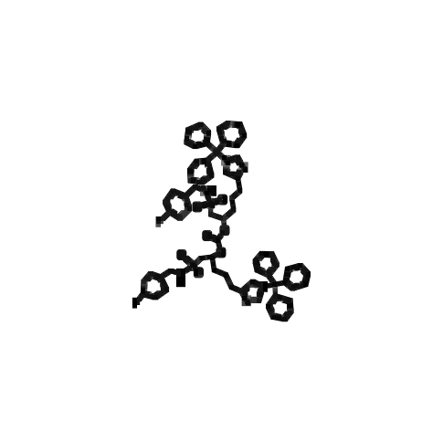 O=C(OC(CCCc1cn(C(c2ccccc2)(c2ccccc2)c2ccccc2)cn1)CS(=O)(=O)NCc1ccc(F)cc1)OC(CCCc1cn(C(c2ccccc2)(c2ccccc2)c2ccccc2)cn1)CS(=O)(=O)NCc1ccc(F)cc1